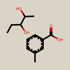 CCC(O)C(C)O.Cc1cccc(C(=O)O)c1